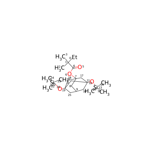 CCC(C)(C)C(=O)OC12CC3CC(O[Si](C)(C)C)(C1)CC(O[Si](C)(C)C)(C3)C2